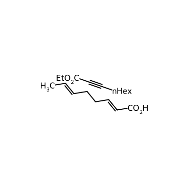 CC=CCCC=CC(=O)O.CCCCCCC#CC(=O)OCC